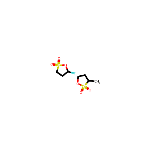 CC1CCOS1(=O)=O.O=S1(=O)CCC(F)O1